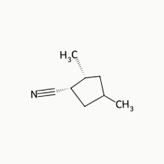 CC1C[C@@H](C)[C@@H](C#N)C1